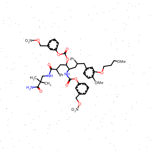 COCCCOc1cc(CC(CC(NC(=O)Oc2cccc(CO[N+](=O)[O-])c2)C(CC(C(=O)NCC(C)(C)C(N)=O)C(C)C)OC(=O)Oc2cccc(CO[N+](=O)[O-])c2)C(C)C)ccc1OC